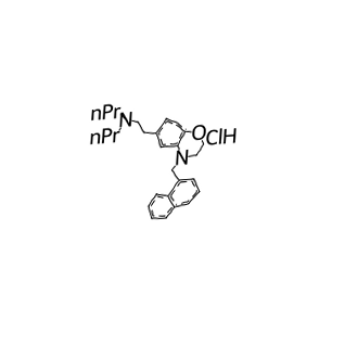 CCCN(CCC)CCc1ccc2c(c1)N(Cc1cccc3ccccc13)CCO2.Cl